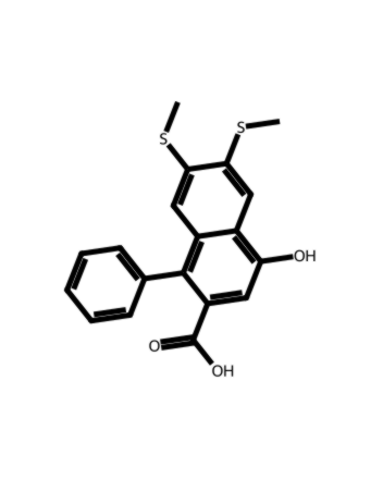 CSc1cc2c(O)cc(C(=O)O)c(-c3ccccc3)c2cc1SC